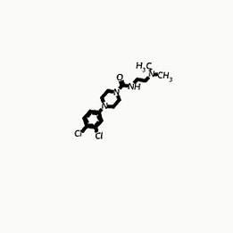 CN(C)CCNC(=O)N1CCN(c2ccc(Cl)c(Cl)c2)CC1